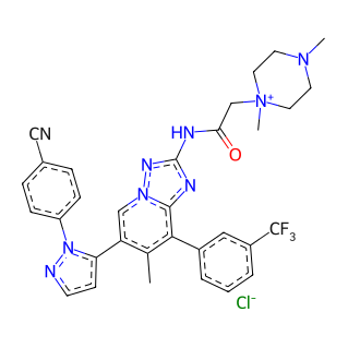 Cc1c(-c2ccnn2-c2ccc(C#N)cc2)cn2nc(NC(=O)C[N+]3(C)CCN(C)CC3)nc2c1-c1cccc(C(F)(F)F)c1.[Cl-]